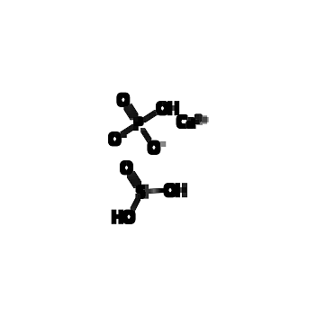 O=P([O-])([O-])O.O=[Si](O)O.[Ca+2]